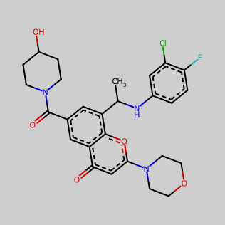 CC(Nc1ccc(F)c(Cl)c1)c1cc(C(=O)N2CCC(O)CC2)cc2c(=O)cc(N3CCOCC3)oc12